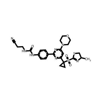 CC1CSC(S(=O)(=O)C2(c3cc(N4CCOCC4)nc(-c4ccc(NC(=O)NCCC#N)cc4)n3)CC2)=N1